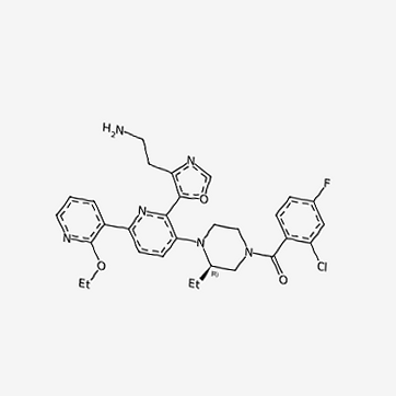 CCOc1ncccc1-c1ccc(N2CCN(C(=O)c3ccc(F)cc3Cl)C[C@H]2CC)c(-c2ocnc2CCN)n1